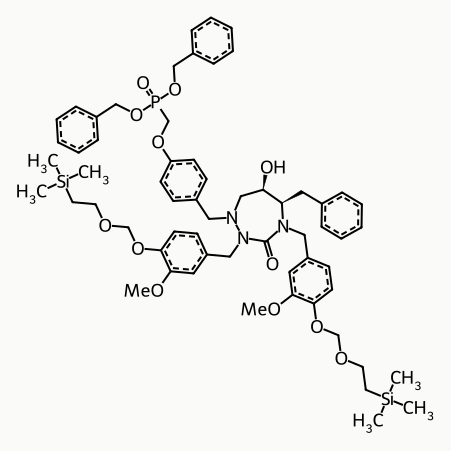 COc1cc(CN2C(=O)N(Cc3ccc(OCOCC[Si](C)(C)C)c(OC)c3)N(Cc3ccc(OCP(=O)(OCc4ccccc4)OCc4ccccc4)cc3)C[C@@H](O)[C@H]2Cc2ccccc2)ccc1OCOCC[Si](C)(C)C